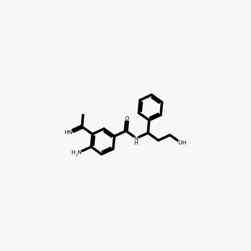 CC(=N)c1cc(C(=O)NC(CCO)c2ccccc2)ccc1N